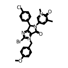 COc1ccc(Cn2c(Br)nc3c2C(=O)N(c2cc(C)c(=O)n(C)c2)C3c2ccc(Cl)cc2)cc1